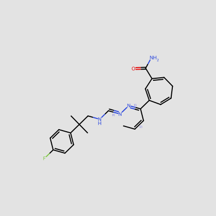 C\C=C/C(=N\N=C\NCC(C)(C)c1ccc(F)cc1)C1=CC(C(N)=O)=CCC=C1